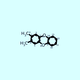 Cc1cc2c(cc1C)Oc1ccccc1O2